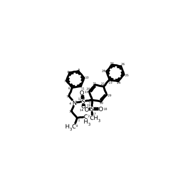 CC(C)CN(Cc1ccccc1)S(=O)(=O)C1(S(C)(=O)=O)C=CC(c2ccccc2)C=C1